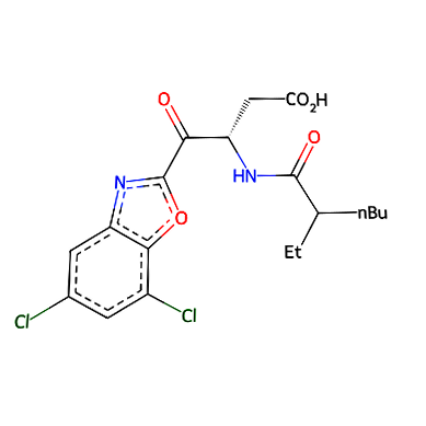 CCCCC(CC)C(=O)N[C@@H](CC(=O)O)C(=O)c1nc2cc(Cl)cc(Cl)c2o1